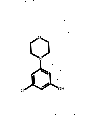 Oc1cc(Cl)cc(N2CCOCC2)c1